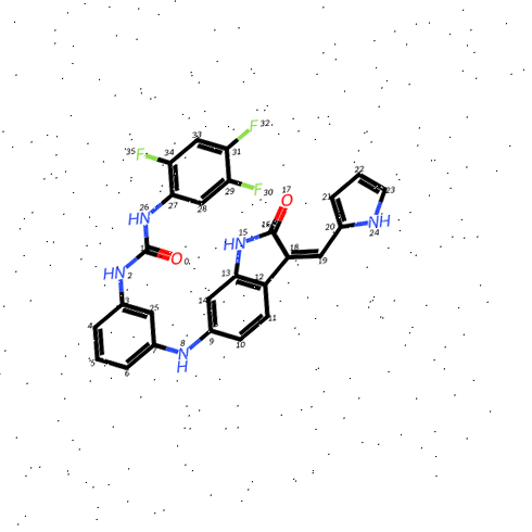 O=C(Nc1cccc(Nc2ccc3c(c2)NC(=O)/C3=C\c2ccc[nH]2)c1)Nc1cc(F)c(F)cc1F